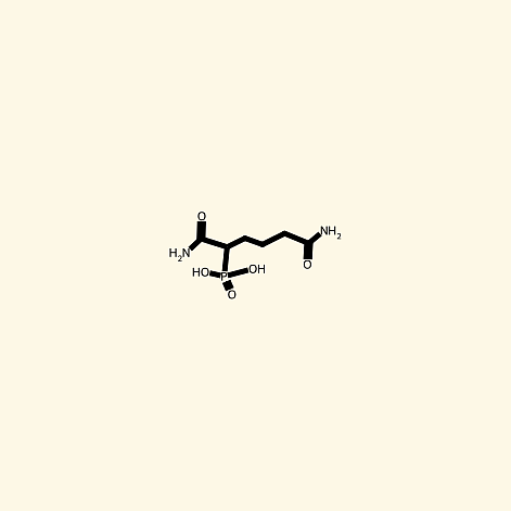 NC(=O)CCCC(C(N)=O)P(=O)(O)O